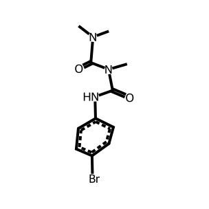 CN(C)C(=O)N(C)C(=O)Nc1ccc(Br)cc1